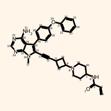 C=CC(=O)NC1CCN(C2CC(C#Cc3c(-c4ccc(Oc5ccccc5)cc4)c4c(N)ncnc4n3C)C2)CC1